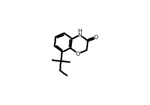 CCC(C)(C)c1cccc2c1OCC(=O)N2